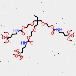 CCC(CCOCCOC(=O)NCCC[Si](OC)(OC)OC)(COCCOC(=O)NCCC[Si](OC)(OC)OC)COCCOC(=O)NCCC[Si](OC)(OC)OC